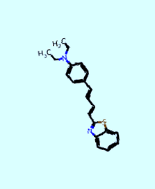 CCN(CC)c1ccc(/C=C/C=C/c2nc3ccccc3s2)cc1